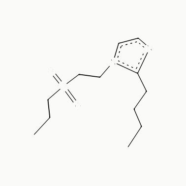 CCCCc1nccn1CCS(=O)(=O)CCC